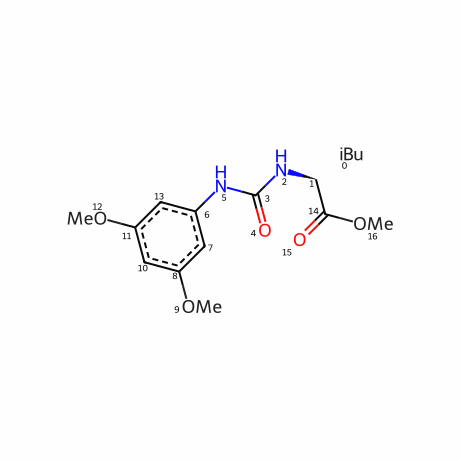 CC[C@H](C)[C@H](NC(=O)Nc1cc(OC)cc(OC)c1)C(=O)OC